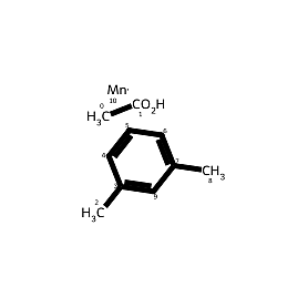 CC(=O)O.Cc1cccc(C)c1.[Mn]